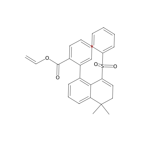 C=COC(=O)c1ccccc1-c1cccc2c1C(S(=O)(=O)c1ccccc1)=CCC2(C)C